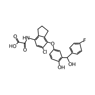 O=C(O)C(=O)Nc1cc(Cl)c(Oc2ccc(O)c(C(O)c3ccc(F)cc3)c2)c2c1CCC2